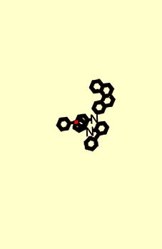 c1ccc(-c2ccc(N(c3ccc4c(ccc5ccc6ccccc6c54)c3)c3cccc4c5ccccc5n(-c5ccccc5)c34)cc2)cc1